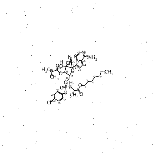 CCCCCCCOC(=O)[C@H](C)N[P@](=O)(OC[C@H]1O[C@@](C#N)(c2ccc3c(N)ncnn23)[C@](C)(O)[C@@H]1OC(=O)C(C)C)Oc1ccc(Cl)cc1